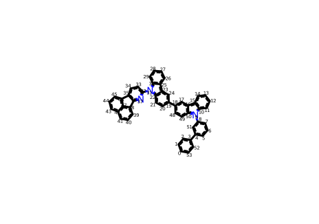 c1ccc(-c2cccc(-n3c4ccccc4c4cc(-c5ccc6c(c5)c5ccccc5n6-c5ccc6c(n5)-c5cccc7cccc-6c57)ccc43)c2)cc1